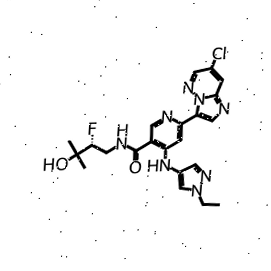 CCn1cc(Nc2cc(-c3cnc4cc(Cl)cnn34)ncc2C(=O)NC[C@@H](F)C(C)(C)O)cn1